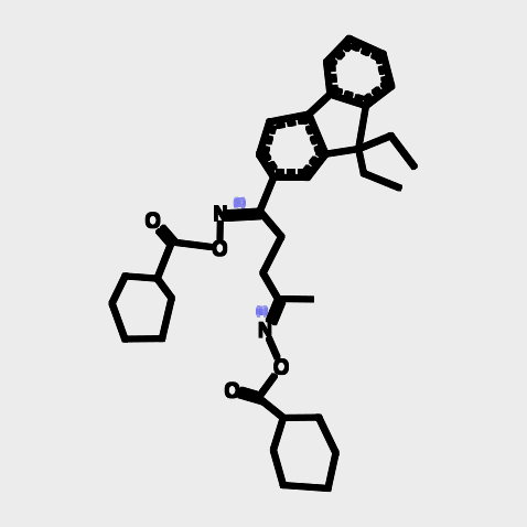 CCC1(CC)c2ccccc2-c2ccc(/C(CC/C(C)=N/OC(=O)C3CCCCC3)=N/OC(=O)C3CCCCC3)cc21